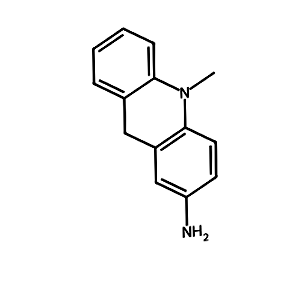 CN1c2ccccc2Cc2cc(N)ccc21